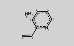 C=Cc1ccccn1.N